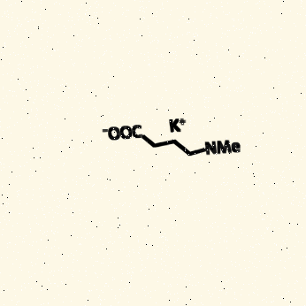 CNCCCC(=O)[O-].[K+]